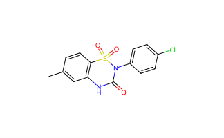 Cc1ccc2c(c1)NC(=O)N(c1ccc(Cl)cc1)S2(=O)=O